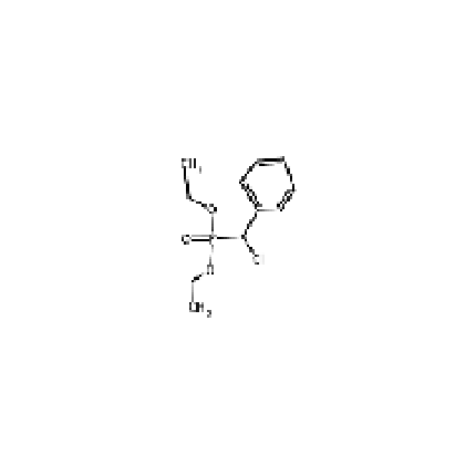 CCOP(=O)(OCC)C(Cl)c1ccccc1